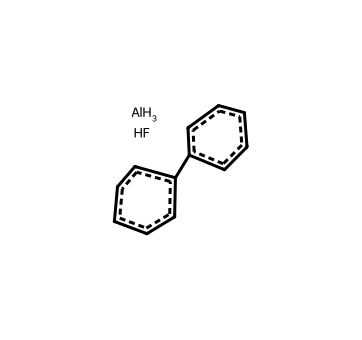 F.[AlH3].c1ccc(-c2ccccc2)cc1